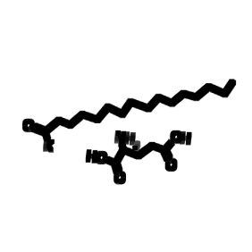 CCCCCCCCCCCCCCC[C](=O)[K].NC(CCC(=O)O)C(=O)O